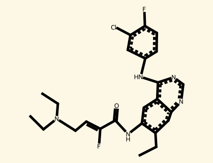 CCc1cc2ncnc(Nc3ccc(F)c(Cl)c3)c2cc1NC(=O)C(F)=CCN(CC)CC